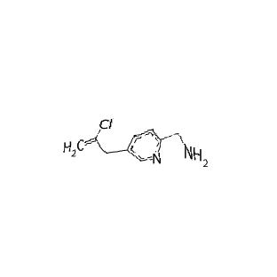 C=C(Cl)Cc1ccc(CN)nc1